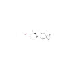 CC(=O)O[C@@H]1CC[C@]2(C)C3CC[C@]45C=CCC[C@H]4CCC5C3CC[C@@H]2C1